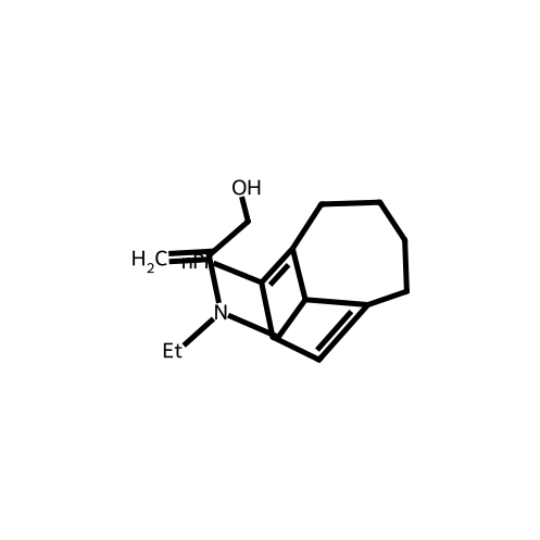 C=C(CO)N(CC)CC1C2=CCC(CCC)=C1CCCC2